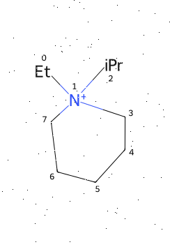 CC[N+]1(C(C)C)CCCCC1